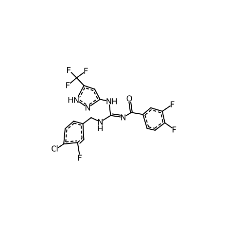 O=C(/N=C(/NCc1ccc(Cl)c(F)c1)Nc1cc(C(F)(F)F)[nH]n1)c1ccc(F)c(F)c1